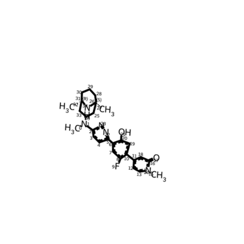 CN(c1ccc(-c2cc(F)c(-c3ccn(C)c(=O)c3)cc2O)nn1)[C@H]1C[C@]2(C)CCC[C@](C)(C1)N2